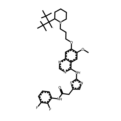 [CH2]C(C1CCCCN1CCCOc1cc2ncnc(Nc3ncc(CC(=O)Nc4cccc(F)c4F)s3)c2cc1OC)(C(C)(C)C)C(C)(C)C